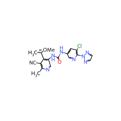 CO[C@H](C)c1c(NC(=O)Nc2cnc(-n3nccn3)c(Cl)c2)cnc(C)c1C#N